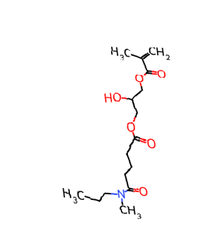 C=C(C)C(=O)OCC(O)COC(=O)CCCC(=O)N(C)CCC